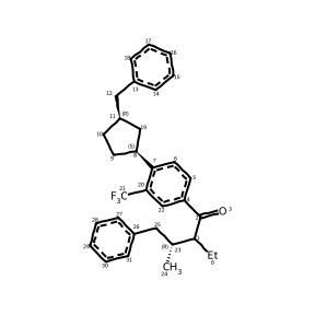 CCC(C(=O)c1ccc([C@H]2CC[C@@H](Cc3ccccc3)C2)c(C(F)(F)F)c1)[C@H](C)Cc1ccccc1